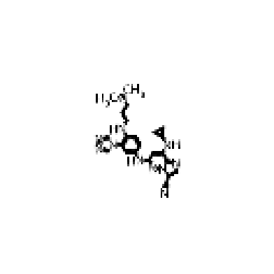 CN(C)CCCNc1ccc(NC2=NN3C(=NCC3C#N)C(NC3CC3)=C2)cc1-n1cnnc1